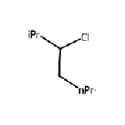 CC[CH]CC(Cl)C(C)C